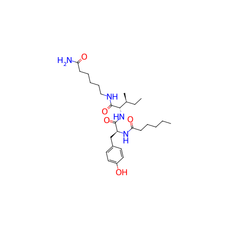 CCCCCC(=O)N[C@@H](Cc1ccc(O)cc1)C(=O)N[C@H](C(=O)NCCCCCC(N)=O)[C@@H](C)CC